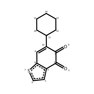 O=C1C(=O)c2ccsc2C=C1[C]1CCCCC1